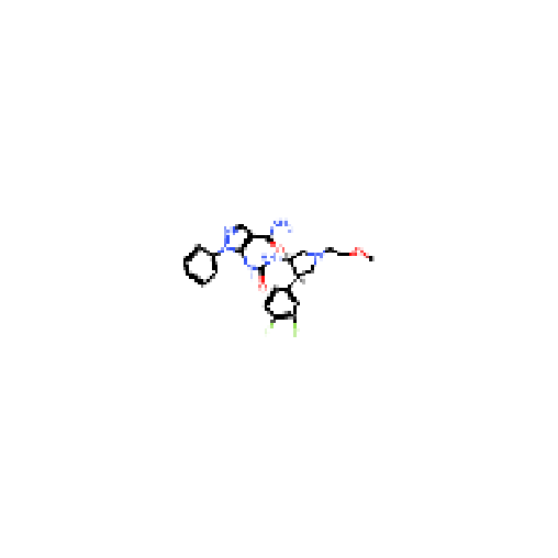 COCCN1C[C@@H](NC(=O)Nc2c(C(N)=O)cnn2-c2ccccc2)[C@H](c2ccc(F)c(F)c2)C1